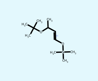 CC(/C=C/O[Si](C)(C)C)OC(C)(C)C